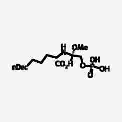 CCCCCCCCCCCCCCN[C@](COP(=O)(O)O)(OC)C(=O)O